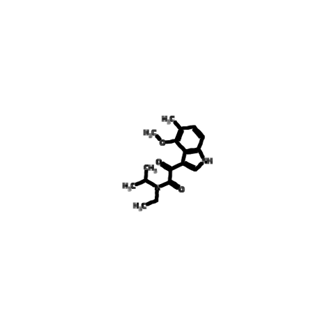 CCN(C(=O)C(=O)c1c[nH]c2ccc(C)c(OC)c12)C(C)C